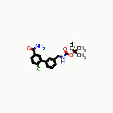 CC(C)(C)OC(=O)NCc1cccc(-c2cc(C(N)=O)ccc2Cl)c1